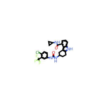 O=C(Nc1ccc(Cl)c(C(F)(F)F)c1)NC1CCc2[nH]c3cccc(C(=O)NC4CC4)c3c2C1